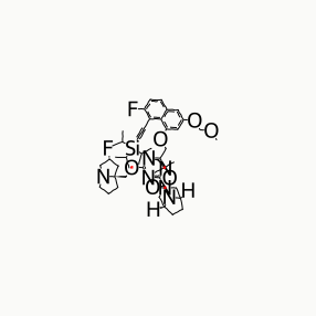 COCOc1cc(OCc2nc(OC[C@@]34CCCN3C[C@H](F)C4)nc(N3C[C@H]4CC[C@@H](C3)N4C(=O)OC(C)(C)C)n2)c2c(C#C[Si](C(C)C)(C(C)C)C(C)C)c(F)ccc2c1